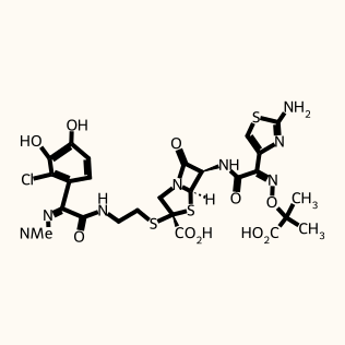 CN/N=C(\C(=O)NCCS[C@]1(C(=O)O)CN2C(=O)[C@@H](NC(=O)/C(=N\OC(C)(C)C(=O)O)c3csc(N)n3)[C@H]2S1)c1ccc(O)c(O)c1Cl